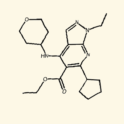 CCOC(=O)c1c(C2CCCC2)nc2c(cnn2CC)c1NC1CCOCC1